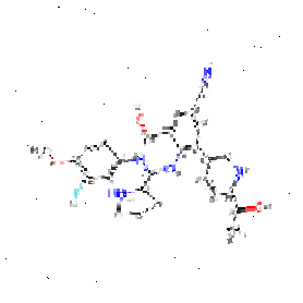 COc1ccc(-n2c(C3CCCN3)nc3c(-c4ccc(C(C)=O)nc4)cc(C#N)cc3c2=O)cc1F